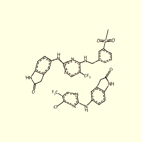 CS(=O)(=O)c1cccc(CNc2nc(Nc3ccc4c(c3)CC(=O)N4)ncc2C(F)(F)F)c1.O=C1Cc2cc(Nc3ncc(C(F)(F)F)c(Cl)n3)ccc2N1